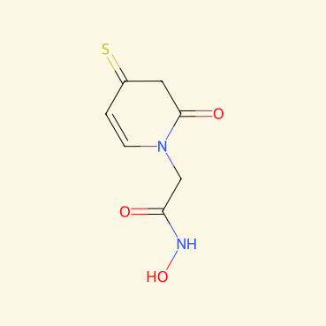 O=C(CN1C=CC(=S)CC1=O)NO